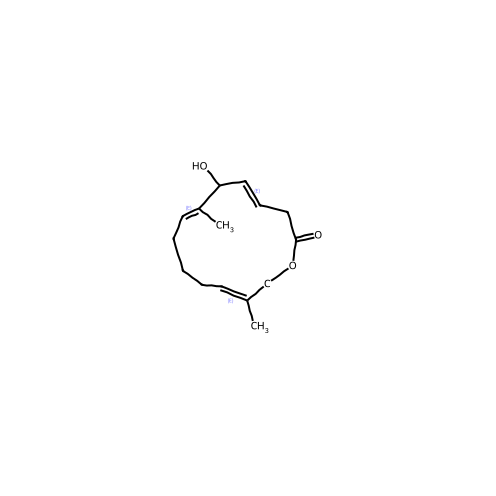 C/C1=C\CCC/C=C(\C)C(O)/C=C/CC(=O)OC1